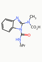 CCCNC(=O)n1c(N(C)C(=O)O)nc2ccccc21